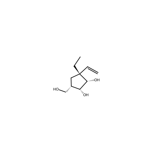 C=C[C@@]1(CC)C[C@@H](CO)[C@@H](O)[C@H]1O